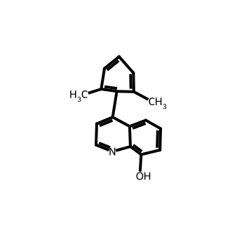 Cc1cccc(C)c1-c1ccnc2c(O)cccc12